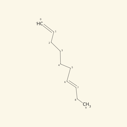 [CH]=CCCCCC=CCC